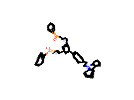 O=[PH](C/C=C/c1cc(/C=C/C[PH](=O)c2ccccc2)cc(-c2ccc(/C=C/n3c4ccccc4c4ccccc43)cc2)c1)c1ccccc1